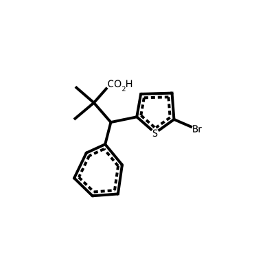 CC(C)(C(=O)O)C(c1ccccc1)c1ccc(Br)s1